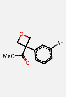 COC(=O)C1(c2cccc(C(C)=O)c2)COC1